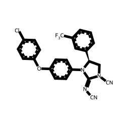 N#C/N=C1\N(C#N)C[C@H](c2cccc(C(F)(F)F)c2)N1c1ccc(Oc2ccc(Cl)cc2)cc1